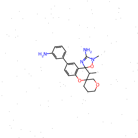 CC1C2(CCCOC2)Oc2ccc(-c3cccc(N)c3)cc2C12N=C(N)N(C)O2